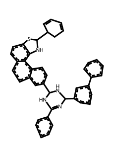 C1=CCC(C2Nc3c(ccc4ccc5cc(C6NC(c7ccccc7)=NC(c7cccc(-c8ccccc8)c7)N6)ccc5c34)S2)C=C1